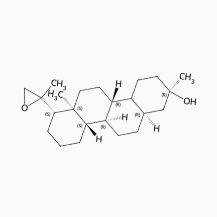 CC1([C@H]2CCC[C@H]3[C@@H]4CC[C@@H]5C[C@](C)(O)CCC5[C@H]4CC[C@]23C)CO1